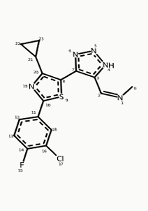 C/N=C\c1[nH]nnc1-c1sc(-c2ccc(F)c(Cl)c2)nc1C1CC1